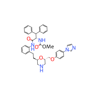 COC(=O)N[C@H](C(=O)Nc1ccccc1CC[C@@H]1CNC[C@@H](COc2ccc(-n3ccnc3)cc2)O1)C(c1ccccc1)c1ccccc1